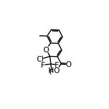 Cc1cccc2c1OC(Cl)(C(F)(F)F)C(C(=O)O)=C2